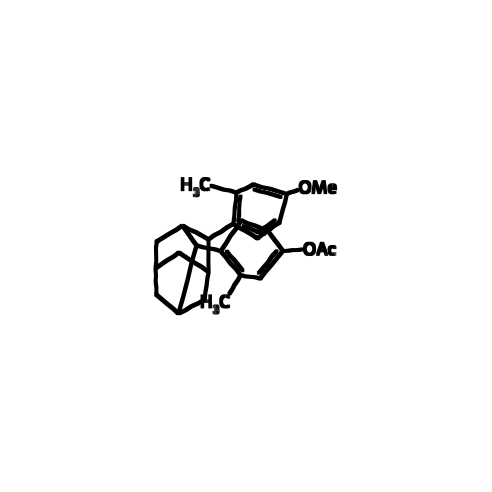 COc1ccc(C2C3CC4CC(C3)C(c3ccc(OC(C)=O)cc3C)C2C4)c(C)c1